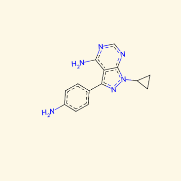 Nc1ccc(-c2nn(C3CC3)c3ncnc(N)c23)cc1